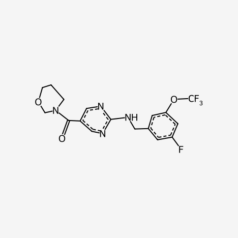 O=C(c1cnc(NCc2cc(F)cc(OC(F)(F)F)c2)nc1)N1CCCOC1